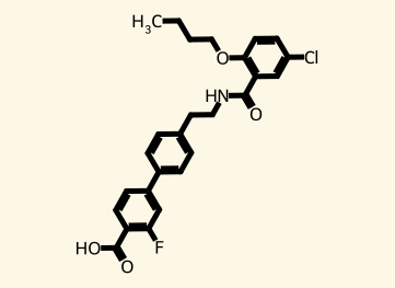 CCCCOc1ccc(Cl)cc1C(=O)NCCc1ccc(-c2ccc(C(=O)O)c(F)c2)cc1